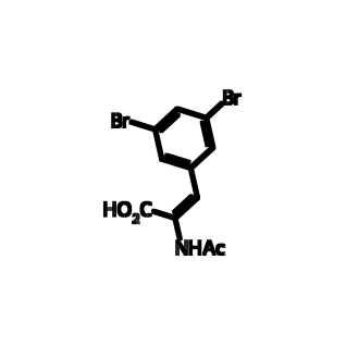 CC(=O)NC(=Cc1cc(Br)cc(Br)c1)C(=O)O